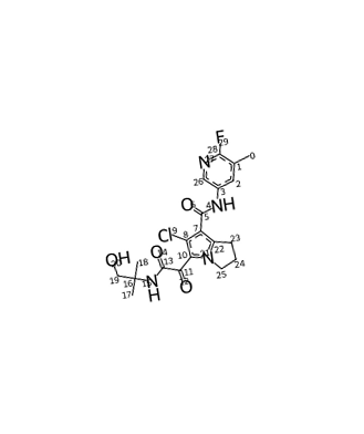 Cc1cc(NC(=O)c2c(Cl)c(C(=O)C(=O)NC(C)(C)CO)n3c2CCC3)cnc1F